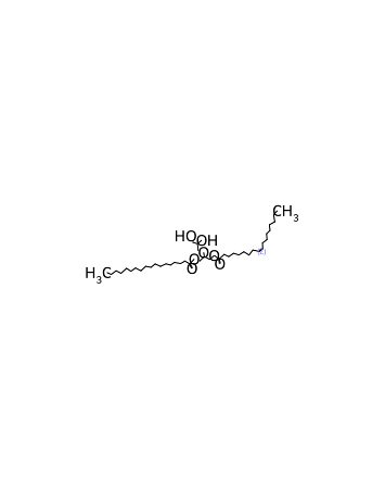 CCCCCCCC/C=C\CCCCCCCC(=O)OCC(COC(=O)CCCCCCCCCCCCCCCCC)OCC(O)CO